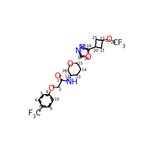 O=C(COc1ccc(C(F)(F)F)cc1)N[C@@H]1CC[C@@H](c2nnc(C3CC(OC(F)(F)F)C3)o2)OC1